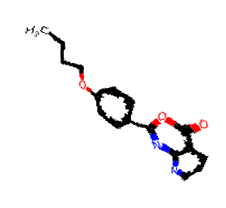 CCCCOc1ccc(-c2nc3ncccc3c(=O)o2)cc1